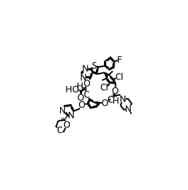 Cc1c(Cl)c2c(Cl)c(C)c1-c1c(-c3ccc(F)cc3)sc3ncnc(c13)O[C@@H](C(=O)O)Cc1cc(ccc1OCc1ccnc([C@@H]3CCCCO3)n1)OC[C@@H](CN1CCN(C)CC1)O2